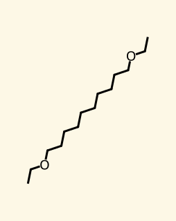 CCOCCCCCCCCCCOCC